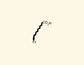 CCC#CC=CCCCCCCCC(=O)O